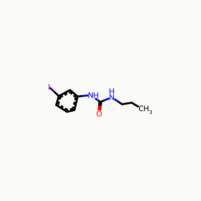 CCCNC(=O)Nc1cccc(I)c1